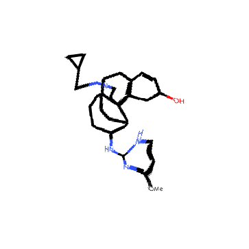 COC1=NC(NC2CCC34CCC2C32CCN(CC3CC3)C4CC3=C2CC(O)C=C3)NC=C1